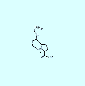 C=C(C=O)C1CCC2C(OCOC)CCCC12C